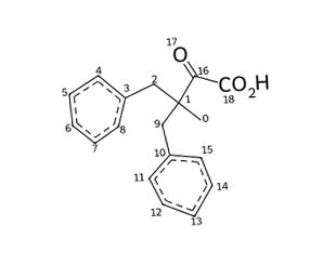 CC(Cc1ccccc1)(Cc1ccccc1)C(=O)C(=O)O